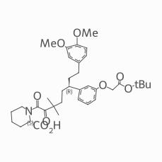 COc1ccc(CC[C@H](CCC(C)(C)C(=O)C(=O)N2CCCC[C@H]2C(=O)O)c2cccc(OCC(=O)OC(C)(C)C)c2)cc1OC